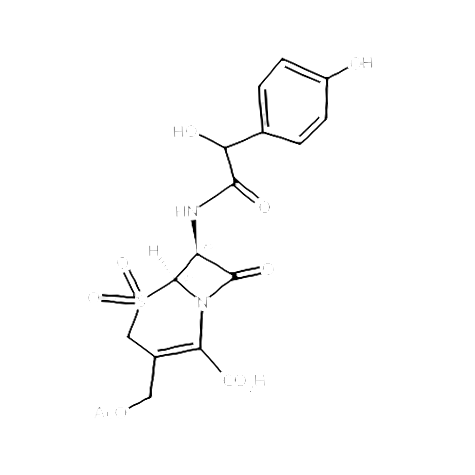 CC(=O)OCC1=C(C(=O)O)N2C(=O)[C@H](NC(=O)C(O)c3ccc(O)cc3)[C@@H]2S(=O)(=O)C1